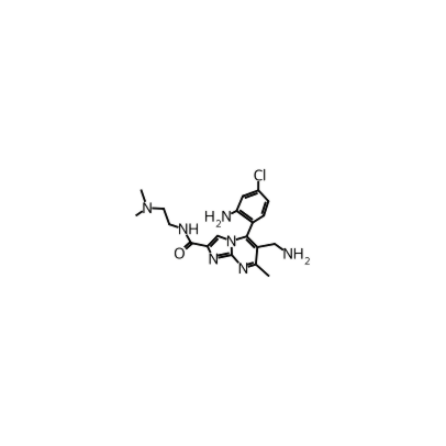 Cc1nc2nc(C(=O)NCCN(C)C)cn2c(-c2ccc(Cl)cc2N)c1CN